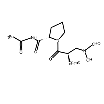 CCCCC[C@H](CN(O)C=O)C(=O)N1CCC[C@H]1C(=O)NC(=O)C(C)(C)C